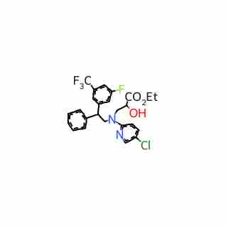 CCOC(=O)C(O)CN(CC(c1ccccc1)c1cc(F)cc(C(F)(F)F)c1)c1ccc(Cl)cn1